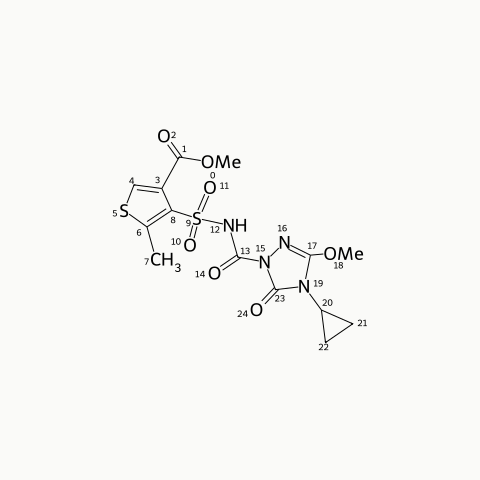 COC(=O)c1csc(C)c1S(=O)(=O)NC(=O)n1nc(OC)n(C2CC2)c1=O